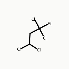 [CH2]CC(Cl)(Cl)CC(Cl)Cl